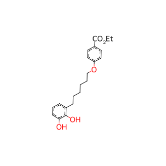 CCOC(=O)c1ccc(OCCCCCCc2cccc(O)c2O)cc1